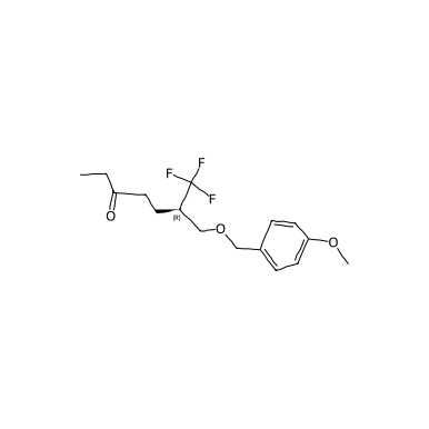 CCC(=O)CC[C@H](COCc1ccc(OC)cc1)C(F)(F)F